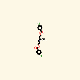 C/C(=C\CCOC(=O)c1ccc(Cl)cc1)CCOC(=O)c1ccc(Cl)cc1